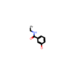 CC(C)CNC(=O)c1cccc([O])c1